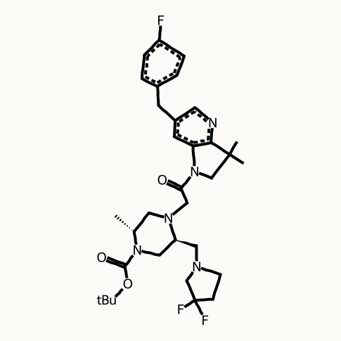 C[C@@H]1CN(CC(=O)N2CC(C)(C)c3ncc(Cc4ccc(F)cc4)cc32)[C@@H](CN2CCC(F)(F)C2)CN1C(=O)OC(C)(C)C